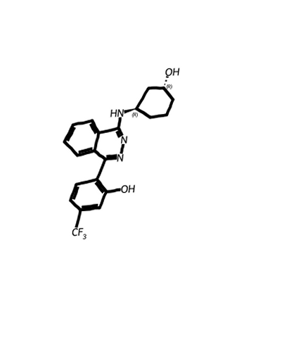 Oc1cc(C(F)(F)F)ccc1-c1nnc(N[C@@H]2CCC[C@@H](O)C2)c2ccccc12